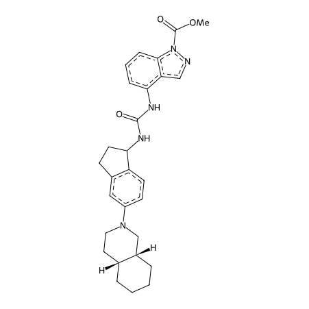 COC(=O)n1ncc2c(NC(=O)NC3CCc4cc(N5CC[C@H]6CCCC[C@H]6C5)ccc43)cccc21